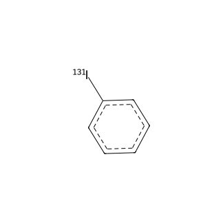 [131I]c1ccccc1